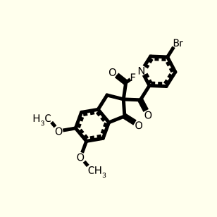 COc1cc2c(cc1OC)C(=O)C(C(=O)F)(C(=O)c1ccc(Br)cn1)C2